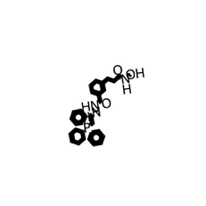 O=C(CCC1=CC(C(=O)N/N=C/C[PH](c2ccccc2)(c2ccccc2)[C@H]2CC=CCC2)=CCC1)NO